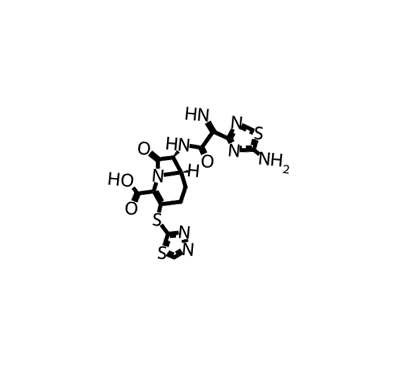 N=C(C(=O)N[C@@H]1C(=O)N2C(C(=O)O)=C(Sc3nncs3)CC[C@H]12)c1nsc(N)n1